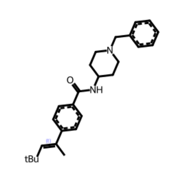 C/C(=C\C(C)(C)C)c1ccc(C(=O)NC2CCN(Cc3ccccc3)CC2)cc1